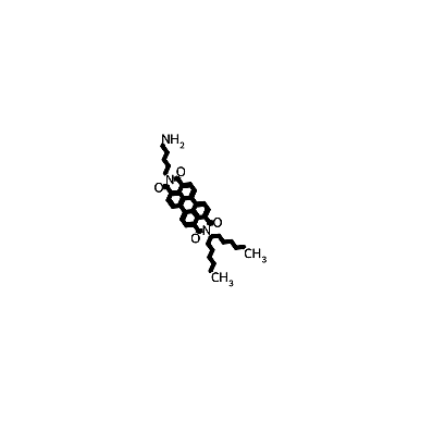 CCCCCCC(CCCCCC)N1C(=O)c2ccc3c4ccc5c6c(ccc(c7ccc(c2c37)C1=O)c64)C(=O)N(CCCCCN)C5=O